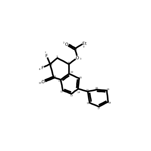 CCC(=O)OC1CC(F)(F)C(=O)c2ccc(-c3ccccc3)cc21